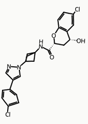 O=C(NC12CC(n3cc(-c4ccc(Cl)cc4)cn3)(C1)C2)[C@H]1C[C@@H](O)c2cc(Cl)ccc2O1